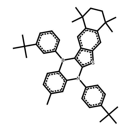 Cc1ccc2c(c1)N(c1ccc(C(C)(C)C)cc1)c1sc3cc4c(cc3c1B2c1cccc(C(C)(C)C)c1)C(C)(C)CCC4(C)C